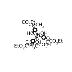 CCOC(=O)C(C)Oc1ccc(-c2nc(-c3ccc(OC(C)C(=O)OCC)cc3O)nc(-c3ccc(OC(C)C(=O)OCC)cc3OC(C)C(=O)OCC)n2)c(O)c1